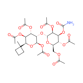 CC(=O)OC[C@H]1O[C@H](O[C@@H]2[C@@H](OC(C)=O)O[C@@H](C3(C)CCC3)[C@@H](OC(C)=O)[C@@H]2OC(C)=O)[C@@H](OC(C)=O)[C@@H](OC(N)=O)[C@@H]1OC(C)=O